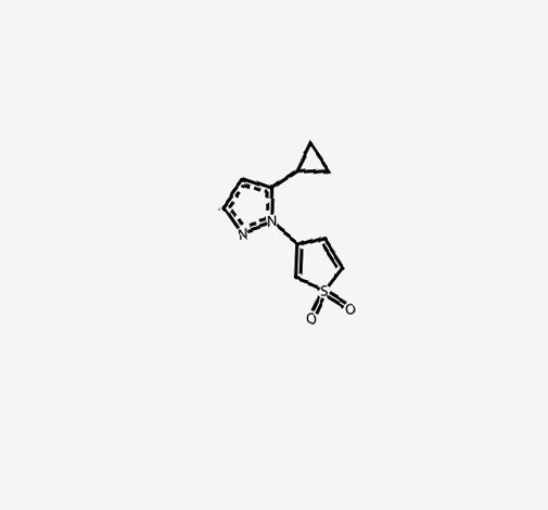 O=S1(=O)C=CC(n2n[c]cc2C2CC2)=C1